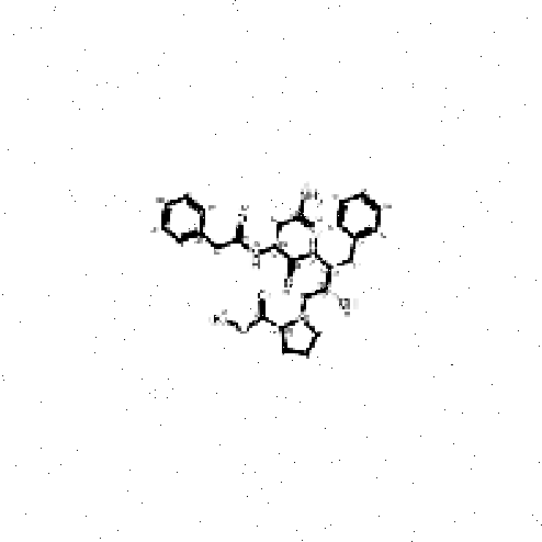 CC(C)(C)OC(=O)[C@@H]1CCCN1C[C@@H](O)[C@H](Cc1ccccc1)NC(=O)[C@H](CC(N)=O)NC(=O)Cc1ccccc1